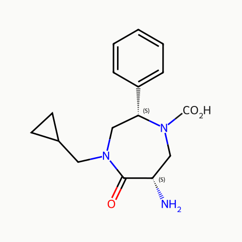 N[C@H]1CN(C(=O)O)[C@@H](c2ccccc2)CN(CC2CC2)C1=O